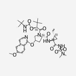 C=C[C@@H]1C[C@]1(NC(=O)[C@@H]1CC(Oc2nccc3cc(OC)ccc23)CN1C(=O)[C@@H](OC(=O)NC(C)(C)C)C(C)(C)C)C(=O)NS(=O)(=O)N(C)C